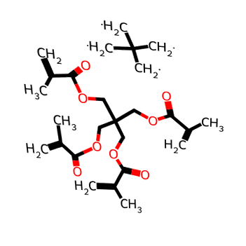 C=C(C)C(=O)OCC(COC(=O)C(=C)C)(COC(=O)C(=C)C)COC(=O)C(=C)C.[CH2]C([CH2])([CH2])[CH2]